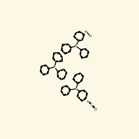 O=[C]=[Ir].[H][H].c1ccc(P(c2ccccc2)c2ccccc2)cc1.c1ccc(P(c2ccccc2)c2ccccc2)cc1.c1ccc(P(c2ccccc2)c2ccccc2)cc1